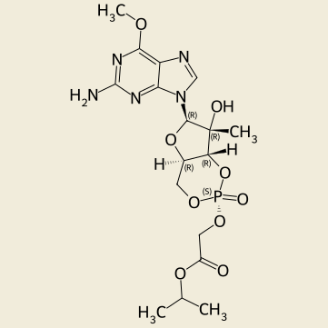 COc1nc(N)nc2c1ncn2[C@@H]1O[C@@H]2CO[P@@](=O)(OCC(=O)OC(C)C)O[C@H]2[C@@]1(C)O